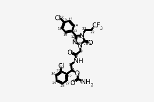 NC(=O)OC(CNC(=O)Cn1nc(-c2ccc(Cl)cc2)n(CCC(F)(F)F)c1=O)c1ccccc1Cl